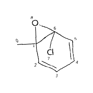 CC12C=CC=CC1(Cl)O2